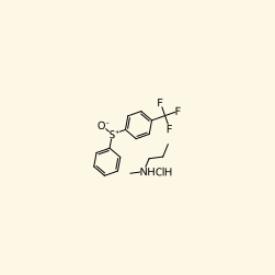 CCCNC.Cl.[O-][S+](c1ccccc1)c1ccc(C(F)(F)F)cc1